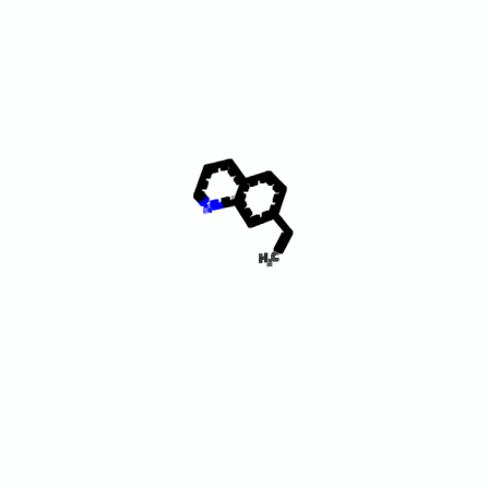 C=Cc1ccc2cccnc2c1